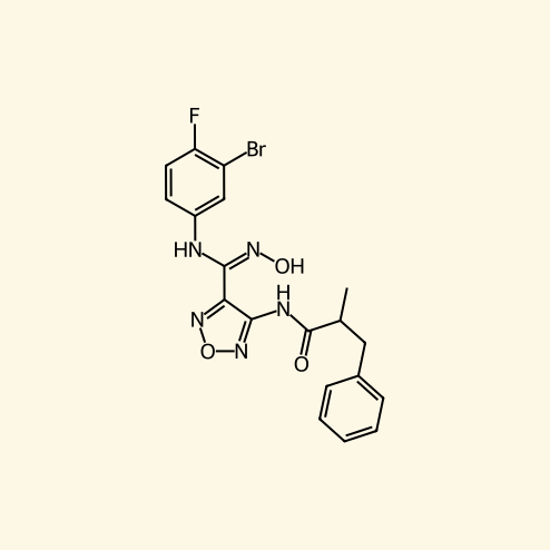 CC(Cc1ccccc1)C(=O)Nc1nonc1/C(=N\O)Nc1ccc(F)c(Br)c1